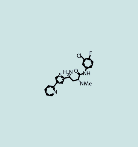 CN[C@H](C[C@H](N)c1cc(-c2ccccn2)cs1)C(=O)Nc1ccc(F)c(Cl)c1